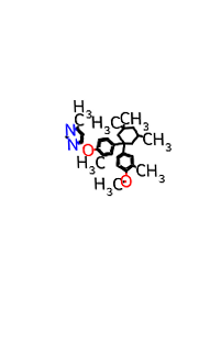 COc1ccc(C2(c3ccc(Oc4cc(C)ncn4)c(C)c3)CC(C)CC(C)(C)C2)cc1C